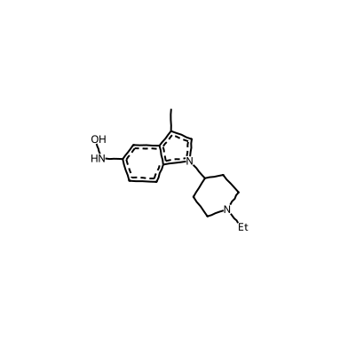 CCN1CCC(n2cc(C)c3cc(NO)ccc32)CC1